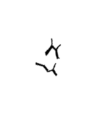 C=C(C)C(=C)C.C=C(C)C=CC